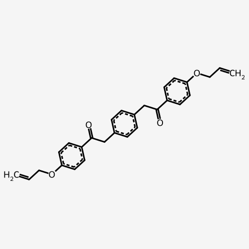 C=CCOc1ccc(C(=O)Cc2ccc(CC(=O)c3ccc(OCC=C)cc3)cc2)cc1